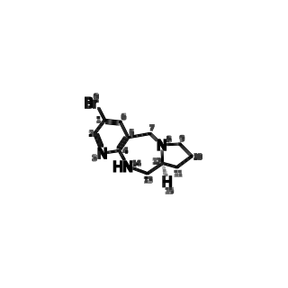 Brc1cnc2c(c1)CN1CCC[C@H]1CN2